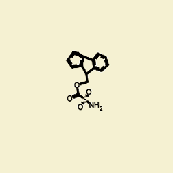 NS(=O)(=O)C(=O)OCC1c2ccccc2-c2ccccc21